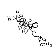 CSc1cc(C)[nH]c(=O)c1CNC(=O)c1c(C)n(C(C)C2CCC(N3CC(S(C)(=O)=O)C3)CC2)c2ccccc12